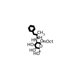 CCCCCCCCOC1O[C@H](CO)[C@H](O)[C@H](O)[C@H]1NN[C@@H](C)Cc1ccccc1